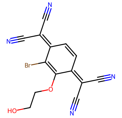 N#CC(C#N)=c1ccc(=C(C#N)C#N)c(OCCO)c1Br